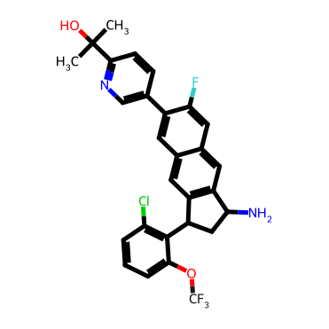 CC(C)(O)c1ccc(-c2cc3cc4c(cc3cc2F)C(N)CC4c2c(Cl)cccc2OC(F)(F)F)cn1